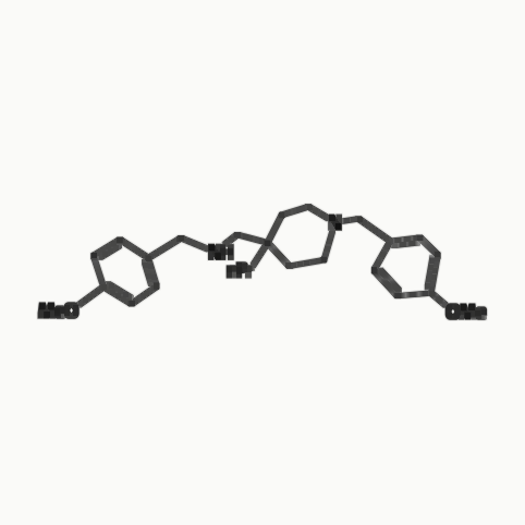 CCCC1(CNCc2ccc(OC)cc2)CCN(Cc2ccc(OC)cc2)CC1